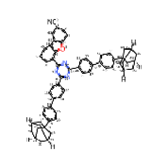 N#Cc1ccc2oc3c(-c4nc(-c5ccc(-c6ccc(C78C[C@H]9C[C@@H](C7)C[C@@H](C8)C9)cc6)cc5)nc(-c5ccc(-c6ccc(C78C[C@H]9C[C@@H](C7)C[C@@H](C8)C9)cc6)cc5)n4)cccc3c2c1